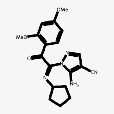 COc1ccc(C(=O)/C(=N/C2CCCC2)n2ncc(C#N)c2N)c(OC)c1